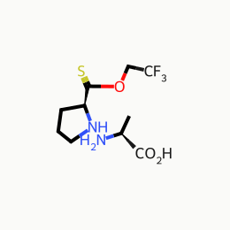 C[C@H](N)C(=O)O.FC(F)(F)COC(=S)[C@@H]1CCCN1